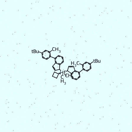 Cc1cc(C(C)(C)C)ccc1-c1cccc2c1C=C[CH]2[Hf]([CH3])([CH3])(=[C]1CCC1)[CH]1C=Cc2c(-c3ccc(C(C)(C)C)cc3C)cccc21